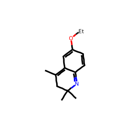 CCOc1ccc2c(c1)=C(C)CC(C)(C)N=2